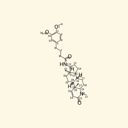 COc1ccc(CCCC(=O)NC2CC[C@H]3[C@@H]4CCC5N(C)C(=O)C=C[C@]5(C)[C@@H]4CC[C@]23C)cc1OC